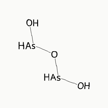 O[AsH]O[AsH]O